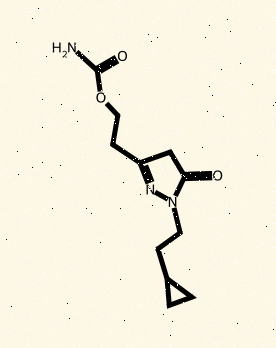 NC(=O)OCCC1=NN(CCC2CC2)C(=O)C1